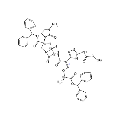 C[C@@H](O/N=C(\C(=O)N[C@@H]1C(=O)N2C[C@@](C(=O)OC(c3ccccc3)c3ccccc3)(N3CCN(N)C3=O)S[C@H]12)c1csc(NC(=O)OC(C)(C)C)n1)C(=O)OC(c1ccccc1)c1ccccc1